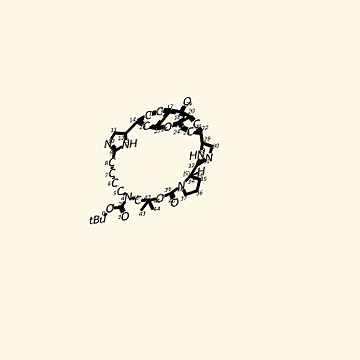 CC(C)(C)OC(=O)N1CCCCC2=NCC(N2)c2ccc3c(=O)c4cc(ccc4oc3c2)C2CN=C(N2)[C@@H]2CCCN2C(=O)OC(C)(C)C1